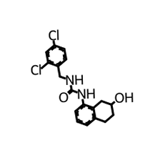 O=C(NCc1ccc(Cl)cc1Cl)Nc1cccc2c1CC(O)CC2